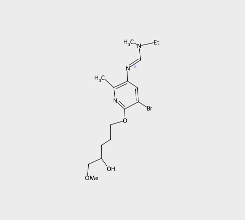 CCN(C)/C=N/c1cc(Br)c(OCCCC(O)COC)nc1C